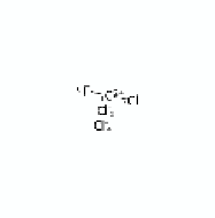 F[C+2]Cl.[Cl-].[Cl-]